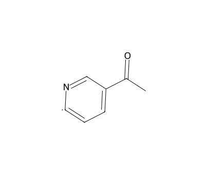 CC(=O)c1cc[c]nc1